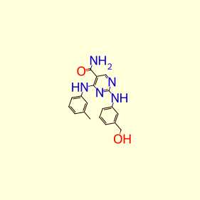 Cc1cccc(Nc2nc(Nc3cccc(CO)c3)ncc2C(N)=O)c1